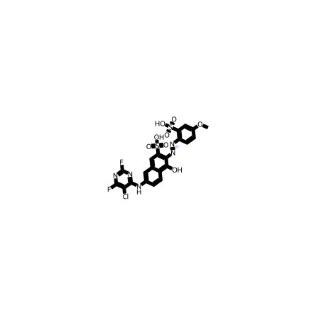 COc1ccc(/N=N/c2c(S(=O)(=O)O)cc3cc(Nc4nc(F)nc(F)c4Cl)ccc3c2O)c(S(=O)(=O)O)c1